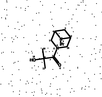 CC(C)N1C2CC1CN(C(=O)C(C)(C)O)C2